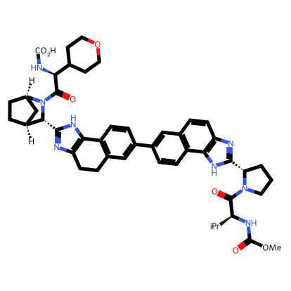 COC(=O)N[C@H](C(=O)N1CCC[C@H]1c1nc2ccc3cc(-c4ccc5c(c4)CCc4nc([C@@H]6[C@H]7CC[C@H](C7)N6C(=O)[C@@H](NC(=O)O)C6CCOCC6)[nH]c4-5)ccc3c2[nH]1)C(C)C